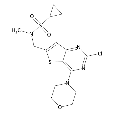 CN(Cc1cc2nc(Cl)nc(N3CCOCC3)c2s1)S(=O)(=O)C1CC1